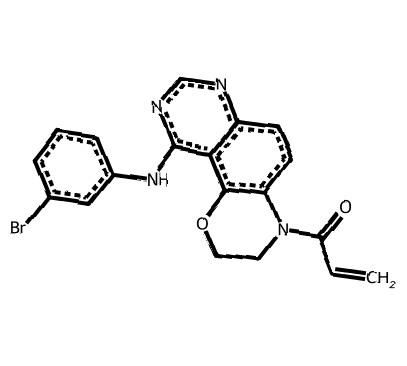 C=CC(=O)N1CCOc2c1ccc1ncnc(Nc3cccc(Br)c3)c21